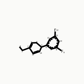 CCC1=CCC(c2cc(F)cc(F)c2)C=C1